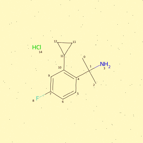 CC(C)(N)c1ccc(F)cc1C1CC1.Cl